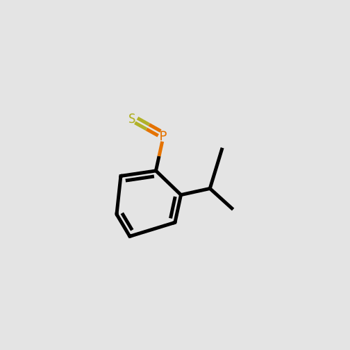 CC(C)c1ccccc1P=S